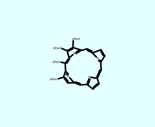 CCCCCC1=CC2=CC3=NC(=CC4=NC(=CC5=NC(=C(CCCCC)C1=N2)C(CCCCC)=C5CCCCC)C=C4)C=C3